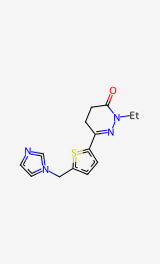 CCN1N=C(c2ccc(Cn3ccnc3)s2)CCC1=O